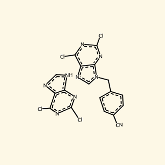 Clc1nc(Cl)c2nc[nH]c2n1.N#Cc1ccc(Cn2cnc3c(Cl)nc(Cl)nc32)cc1